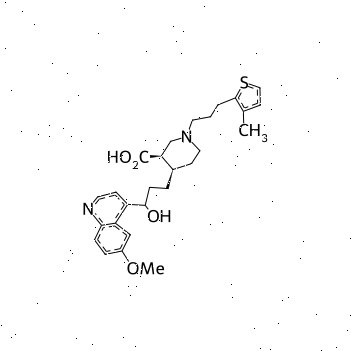 COc1ccc2nccc(C(O)CC[C@@H]3CCN(CCCc4sccc4C)C[C@@H]3C(=O)O)c2c1